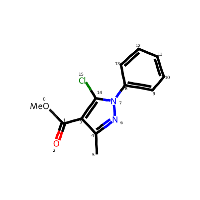 COC(=O)c1c(C)nn(-c2ccccc2)c1Cl